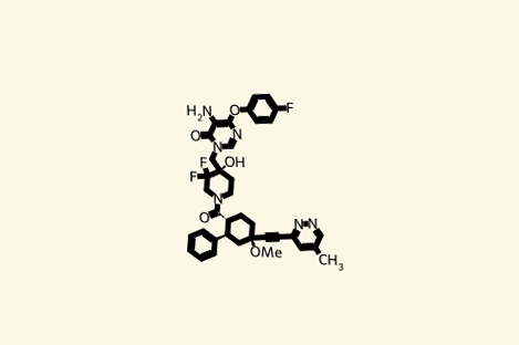 CO[C@]1(C#Cc2cc(C)cnn2)CC[C@@H](C(=O)N2CC[C@](O)(Cn3cnc(Oc4ccc(F)cc4)c(N)c3=O)C(F)(F)C2)[C@H](c2ccccc2)C1